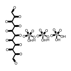 O=CC(=O)C(=O)C(=O)C(=O)C(=O)C(=O)C(=O)C(=O)C(=O)C=O.[O]=[Ru](=[O])(=[O])([OH])[OH].[O]=[Ru](=[O])(=[O])([OH])[OH].[O]=[Ru](=[O])(=[O])([OH])[OH]